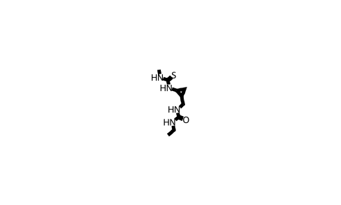 CCNC(=O)NCC1CC1NC(=S)NC